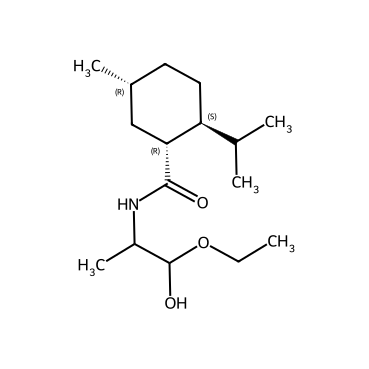 CCOC(O)C(C)NC(=O)[C@@H]1C[C@H](C)CC[C@H]1C(C)C